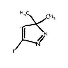 CC1(C)[C]=C(F)N=N1